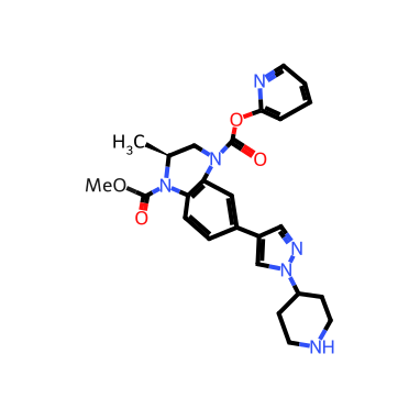 COC(=O)N1c2ccc(-c3cnn(C4CCNCC4)c3)cc2N(C(=O)Oc2ccccn2)C[C@@H]1C